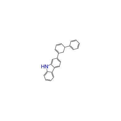 C1=CC(c2ccccc2)CC(c2ccc3c(c2)[nH]c2ccccc23)=C1